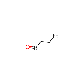 CCC[CH2][Bi]=[O]